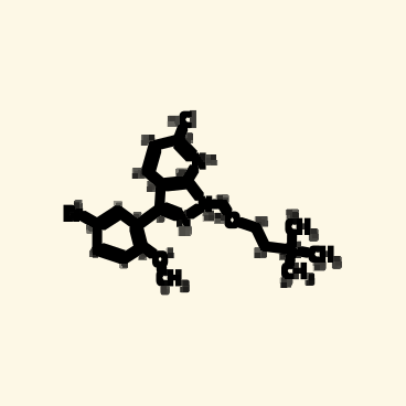 COc1ccc(Br)cc1-c1nn(COCC[Si](C)(C)C)c2nc(Cl)ccc12